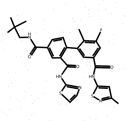 Cc1cc(NC(=O)c2cc(F)c(C)c(-c3ccc(C(=O)NCC(C)(C)C)cc3C(=O)Nc3nccs3)c2)sn1